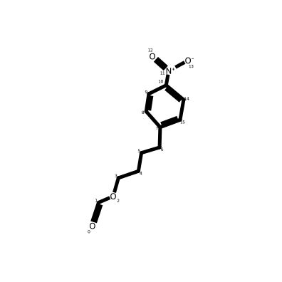 O=COCCCCc1ccc([N+](=O)[O-])cc1